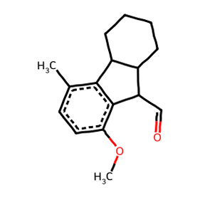 COc1ccc(C)c2c1C(C=O)C1CCCCC21